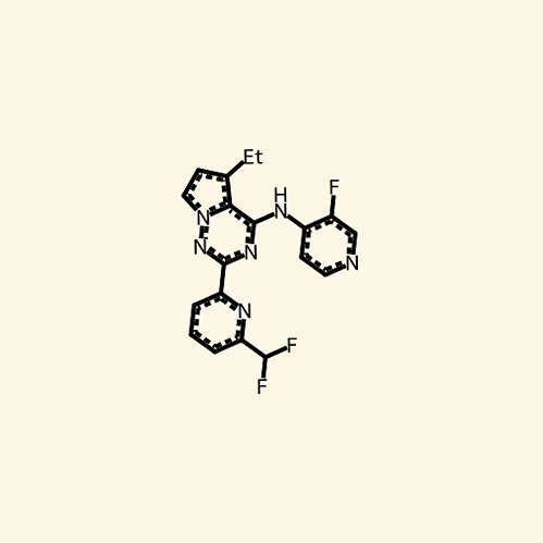 CCc1ccn2nc(-c3cccc(C(F)F)n3)nc(Nc3ccncc3F)c12